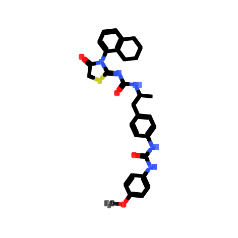 CC(Cc1ccc(NC(=O)Nc2ccc(OC(F)(F)F)cc2)cc1)NC(=O)/N=C1\SCC(=O)N1c1cccc2c1CCCC2